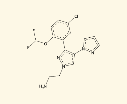 NCCn1cc(-n2cccn2)c(-c2cc(Cl)ccc2OC(F)F)n1